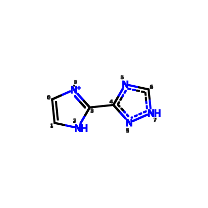 C1=CNC(c2nc[nH]n2)=[N+]1